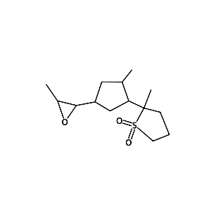 CC1CC(C2OC2C)CC1C1(C)CCCS1(=O)=O